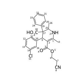 CC1=C(C(=O)OCCC#N)C(c2cccc(Cl)c2)C(C(=O)O)(c2ccccc2)C(C)N1